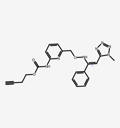 C#CCCOC(=O)Nc1cccc(CON/C(=C\c2nnnn2C)c2ccccc2)n1